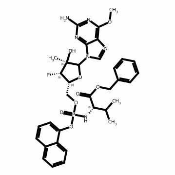 COc1nc(N)nc2c1ncn2C1O[C@H](COP(=O)(N[C@H](C(=O)OCc2ccccc2)C(C)C)Oc2cccc3ccccc23)[C@H](F)[C@@]1(C)O